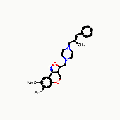 COc1cc2c(cc1OC(C)=O)OCC1C2=NOC1CN1CCN(C/C(C)=C/c2ccccc2)CC1